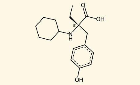 CC[C@@](Cc1ccc(O)cc1)(NC1CCCCC1)C(=O)O